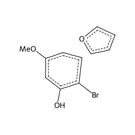 COc1ccc(Br)c(O)c1.c1ccoc1